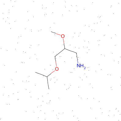 COC(CN)COC(C)C